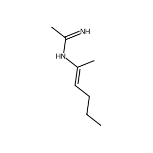 CCC/C=C(\C)NC(C)=N